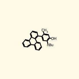 CCCCc1cc(-c2cccc3c4ccccc4c4ccccc4c23)c(C)cc1O